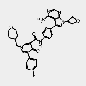 Nc1ncnc2c1c(-c1ccc(NC(=O)c3cn(CC4CCOCC4)cc(-c4ccc(F)cc4)c3=O)cc1)cn2C1COC1